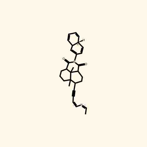 C/C=N\C=C/C#CC1CCC2C(=O)N(C3=CC4C=CC=C[C@@H]4C=C3)C(=O)C3CCCC1(C)C32C